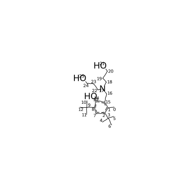 Cc1c(C(C)(C)C)cc(C(C)(C)C)c(O)c1CN(CCCO)CCCO